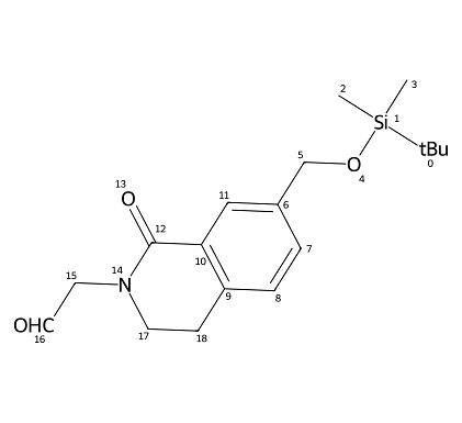 CC(C)(C)[Si](C)(C)OCc1ccc2c(c1)C(=O)N(CC=O)CC2